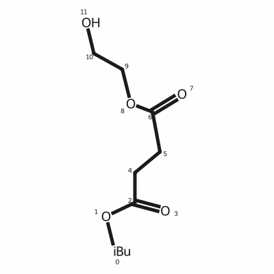 CCC(C)OC(=O)CCC(=O)OCCO